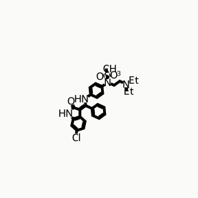 CCN(CC)CCN(c1ccc(N/C(=C2\C(=O)Nc3cc(Cl)ccc32)c2ccccc2)cc1)S(C)(=O)=O